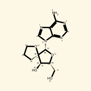 Nc1ncnc2c1ncn2[C@@H]1O[C@H](CO)[C@@H](O)[C@]12CCCO2